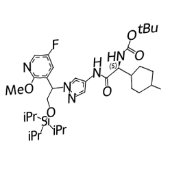 COc1ncc(F)cc1C(CO[Si](C(C)C)(C(C)C)C(C)C)n1cc(NC(=O)[C@@H](NC(=O)OC(C)(C)C)C2CCC(C)CC2)cn1